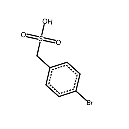 O=S(=O)(O)Cc1ccc(Br)cc1